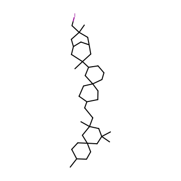 CC1CCC2(CC1)CC(C)(C)CC(C)(CCC1CCC3(CCCC(C4(C)CC5CC(CC(C)(CI)C5)C4)C3)CC1)C2